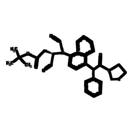 CC(C)(C)OC(=O)C[C@@H](C=O)N(C=O)c1ccc(C(C(=O)N2CCSC2)c2ccccc2)c2ccccc12